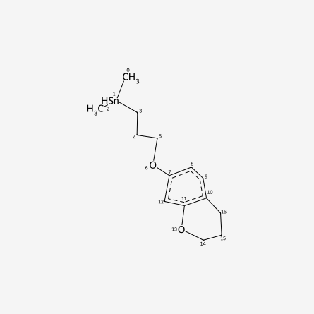 [CH3][SnH]([CH3])[CH2]CCOc1ccc2c(c1)OCCC2